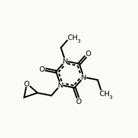 CCn1c(=O)n(CC)c(=O)n(CC2CO2)c1=O